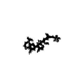 C=N/C(=C\C=C(/C)CNS(C)(=O)=O)Nc1ncc(F)c(-c2cc(F)c3c(c2)N(C(C)C)CCO3)n1